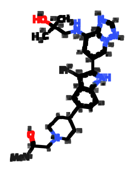 CNC(=O)CN1CCC(c2ccc3[nH]c(-c4cc(NCC(C)(C)O)c5ncnn5c4)c(C(C)C)c3c2)CC1